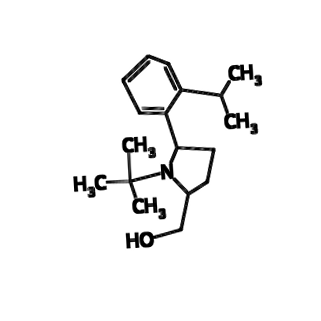 CC(C)c1ccccc1C1CCC(CO)N1C(C)(C)C